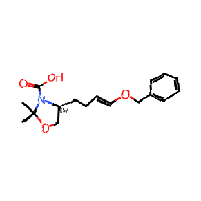 CC1(C)OC[C@H](CCC=COCc2ccccc2)N1C(=O)O